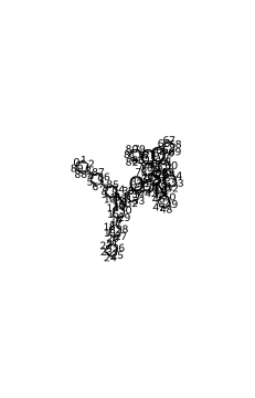 c1ccc(-c2ccc(-c3ccc(N(c4ccc(-c5ccc(-c6ccccc6)cc5)cc4)c4ccc5c(c4)oc4cc6c(cc45)N(c4ccccc4)c4ccccc4[Si]6(c4ccc5c(c4)oc4ccccc45)c4ccc5c(c4)oc4ccccc45)cc3)cc2)cc1